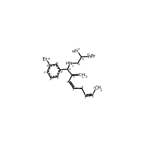 C=C(/C=C\C/C=C\C)C(NCC(CCC)CCC)c1cccc(CC)c1